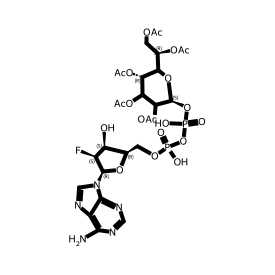 CC(=O)OC[C@@H](OC(C)=O)C1O[C@@H](OP(=O)(O)OP(=O)(O)OC[C@H]2O[C@@H](n3cnc4c(N)ncnc43)[C@@H](F)[C@H]2O)C(OC(C)=O)C(OC(C)=O)[C@@H]1OC(C)=O